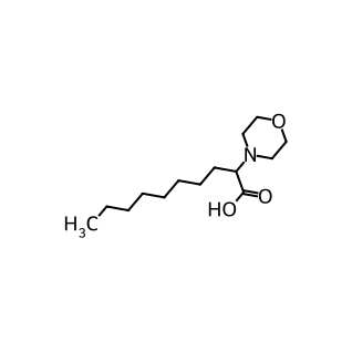 CCCCCCCCC(C(=O)O)N1CCOCC1